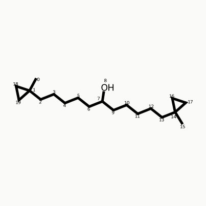 CC1(CCCCCC(O)CCCCCC2(C)CC2)CC1